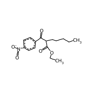 CCCCCC(C(=O)OCC)C(=O)c1ccc([N+](=O)[O-])cc1